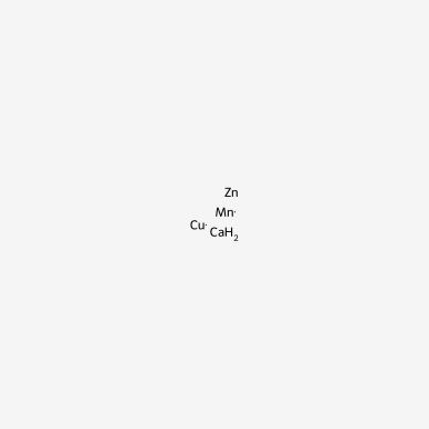 [CaH2].[Cu].[Mn].[Zn]